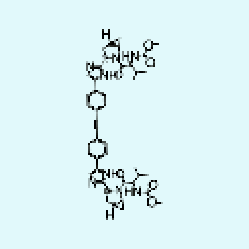 COC(=O)NC(C(=O)N1C2C[C@@H]2C[C@H]1c1ncc(-c2ccc(C#Cc3ccc(-c4cnc([C@@H]5C[C@H]6CC6N5C(=O)[C@@H](NC(=O)OC)C(C)C)[nH]4)cc3)cc2)[nH]1)C(C)C